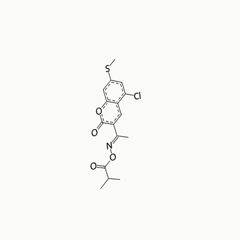 CSc1cc(Cl)c2cc(/C(C)=N/OC(=O)C(C)C)c(=O)oc2c1